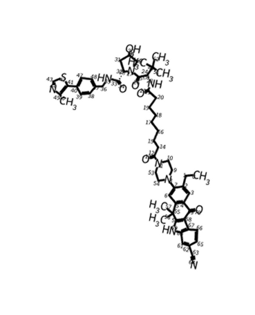 CCc1cc2c(cc1N1CCN(C(=O)CCCCCCCC(=O)N[C@H](C(=O)N3C[C@H](O)C[C@H]3C(=O)NCc3ccc(-c4scnc4C)cc3)C(C)(C)C)CC1)C(C)(C)c1[nH]c3cc(C#N)ccc3c1C2=O